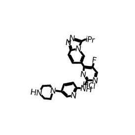 CC(C)c1nnc2ccc(-c3nc(Nc4ccc(N5CCNCC5)cn4)ncc3F)cn12.Cl